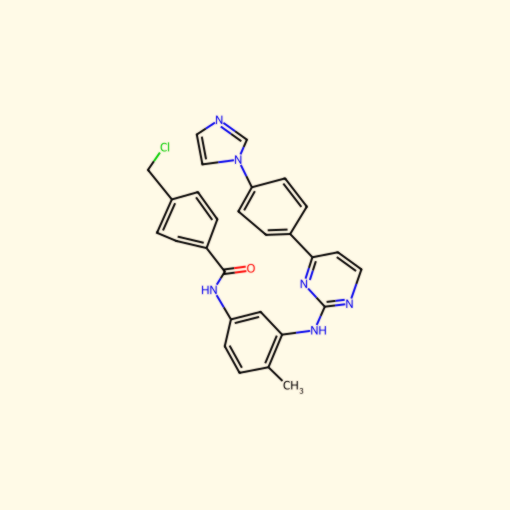 Cc1ccc(NC(=O)c2ccc(CCl)cc2)cc1Nc1nccc(-c2ccc(-n3ccnc3)cc2)n1